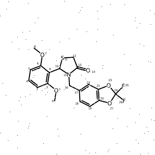 COc1cccc(OC)c1C1SCC(=O)N1Cc1ccc2c(c1)OC(F)(F)O2